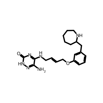 Nc1n[nH]c(=O)nc1NCC=CCOc1cccc(CC2CCCCCN2)c1